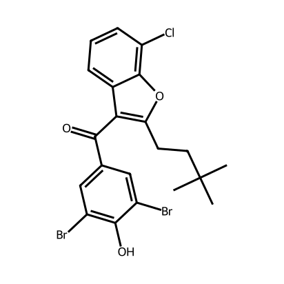 CC(C)(C)CCc1oc2c(Cl)cccc2c1C(=O)c1cc(Br)c(O)c(Br)c1